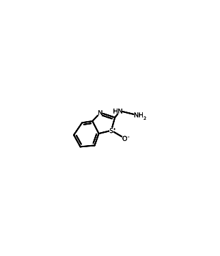 NNc1nc2ccccc2[s+]1[O-]